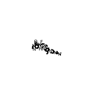 CCc1cc(Nc2ncc(F)c(Nc3ccc4nccnc4c3P(C)(C)=O)n2)c(OC)cc1N1CCC(N2CC(N(C)C)C2)CC1